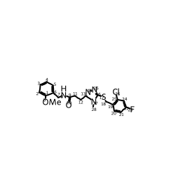 COc1ccccc1CNC(=O)CCc1nnc(SCc2ccc(F)cc2Cl)n1C